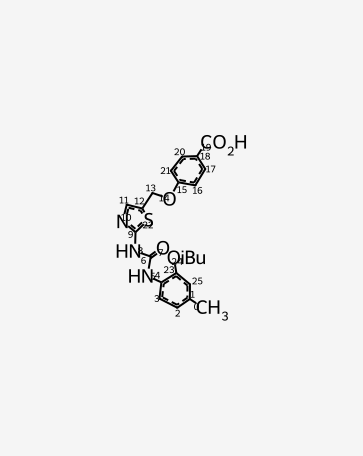 Cc1ccc(NC(=O)Nc2ncc(COc3ccc(C(=O)O)cc3)s2)c(OCC(C)C)c1